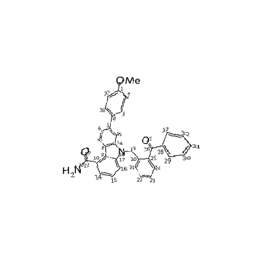 COc1ccc(-c2c[c]c3c4c(C(N)=O)cccc4n(Cc4ccccc4C(=O)c4ccccc4)c3c2)cc1